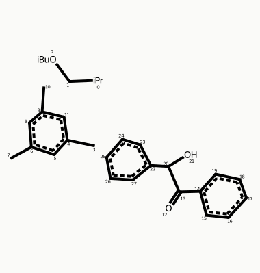 CC(C)COCC(C)C.Cc1cc(C)cc(C)c1.O=C(c1ccccc1)C(O)c1ccccc1